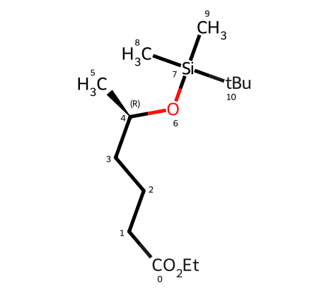 CCOC(=O)CCC[C@@H](C)O[Si](C)(C)C(C)(C)C